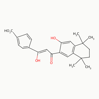 CC1(C)CCC(C)(C)c2cc(C(=O)C=C(O)c3ccc(C(=O)O)cc3)c(O)cc21